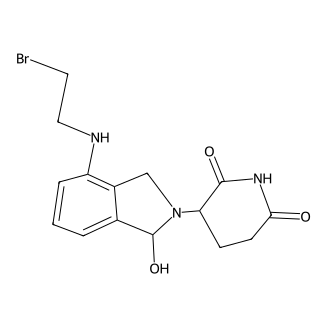 O=C1CCC(N2Cc3c(NCCBr)cccc3C2O)C(=O)N1